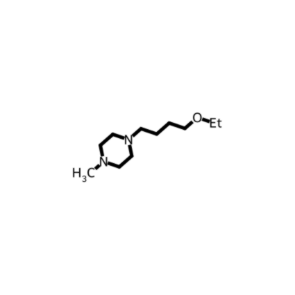 CCOCCCCN1CCN(C)CC1